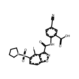 N#Cc1ccc(NC(=O)c2noc3ccc(S(=O)(=O)N4CCCC4)c(I)c23)c(C(=O)O)c1